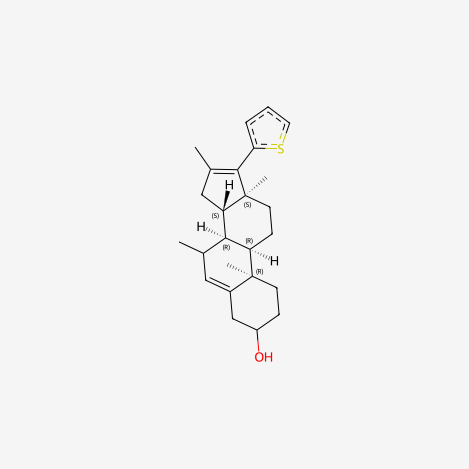 CC1=C(c2cccs2)[C@@]2(C)CC[C@@H]3[C@@H](C(C)C=C4CC(O)CC[C@@]43C)[C@@H]2C1